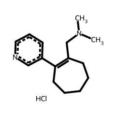 CN(C)CC1=C(c2cccnc2)CCCCC1.Cl